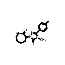 Cn1c(-c2ccc(I)cc2)nn(C2CCCCNC2=O)c1=O